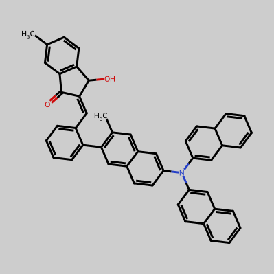 Cc1ccc2c(c1)C(=O)/C(=C\c1ccccc1-c1cc3ccc(N(C4=CC5C=CC=CC5C=C4)c4ccc5ccccc5c4)cc3cc1C)C2O